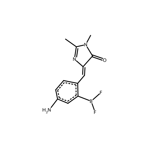 CC1=NC(=Cc2ccc(N)cc2B(F)F)C(=O)N1C